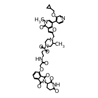 CC1CN(S(=O)(=O)CCNC(=O)COc2cccc3c2C(=O)N(C2CCC(=O)NC2=O)C3=O)CCN1Cc1cc2c(=O)n(C)cc(-c3ccncc3OCC3CC3)c2o1